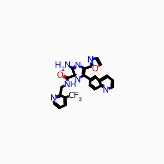 Nc1nc(-c2ncco2)c(-c2ccc3ncccc3c2)nc1C(=O)NCc1ncccc1C(F)(F)F